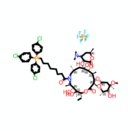 CC[C@H]1OC(=O)[C@H](C)[C@@H](O[C@H]2C[C@@](C)(OC)[C@@H](O)[C@H](C)O2)[C@H](C)[C@@H](O[C@@H]2O[C@H](C)C[C@H](N(C)C)[C@H]2O)[C@](C)(O)C[C@@H](C)CN(C(=O)CCCCCCC[P+](c2ccc(Cl)cc2)(c2ccc(Cl)cc2)c2ccc(Cl)cc2)[C@H](C)[C@@H](O)[C@]1(C)O.F[P-](F)(F)(F)(F)F